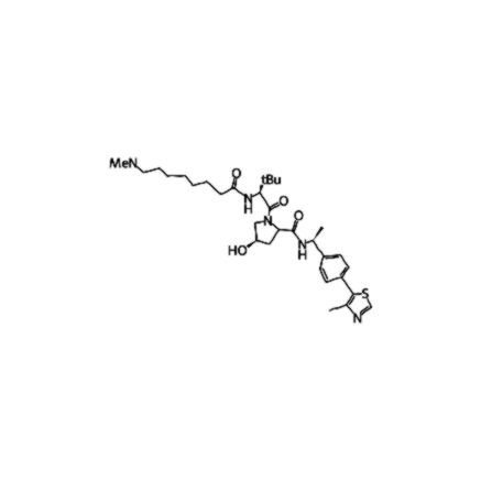 CNCCCCCCCC(=O)N[C@H](C(=O)N1C[C@H](O)CC1C(=O)N[C@@H](C)c1ccc(-c2scnc2C)cc1)C(C)(C)C